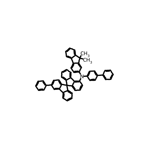 CC1(C)c2ccccc2-c2ccc(N(c3ccc(-c4ccccc4)cc3)c3cccc4c3-c3ccccc3C43c4ccccc4-c4cc(-c5ccccc5)ccc43)cc21